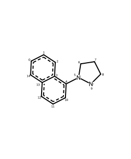 c1ccc2c(N3CCC[N]3)cccc2c1